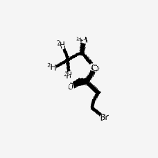 [2H]C(OC(=O)CCBr)C([2H])([2H])[2H]